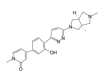 CN1C[C@@H]2CN(c3ccc(-c4ccc(-c5ccn(C)c(=O)c5)cc4O)nn3)C[C@]2(C)C1